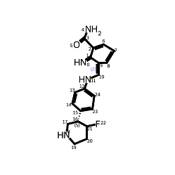 N=C1C(C(N)=O)=CC=C/C1=C/Nc1ccc([C@H]2CNCCC2F)cc1